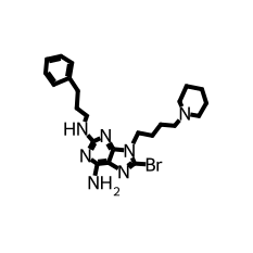 Nc1nc(NCCCc2ccccc2)nc2c1nc(Br)n2CCCCN1CCCCC1